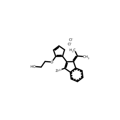 CC(C)=C1C(C2=C(OCCO)C=CC2)=[C]([Zr+2])c2ccccc21.[Cl-].[Cl-]